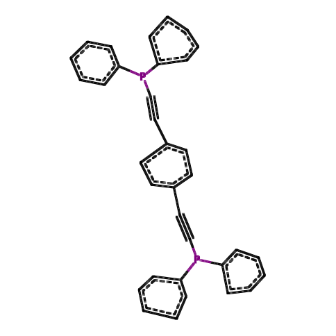 C(#CP(c1ccccc1)c1ccccc1)c1ccc(C#CP(c2ccccc2)c2ccccc2)cc1